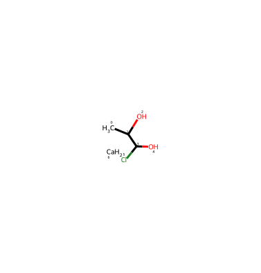 CC(O)C(O)Cl.[CaH2]